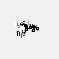 CCC(C)c1ccc2c(c1)c1cc(C(C)CC)ccc1n2-c1ccc(-c2nnc(C3C=CC=CC3)n2-c2ccccc2)cc1